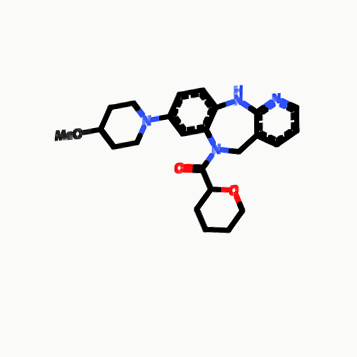 COC1CCN(c2ccc3c(c2)N(C(=O)C2CCCCO2)Cc2cccnc2N3)CC1